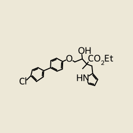 CCOC(=O)C(C)(Cc1ccc[nH]1)C(O)COc1ccc(-c2ccc(Cl)cc2)cc1